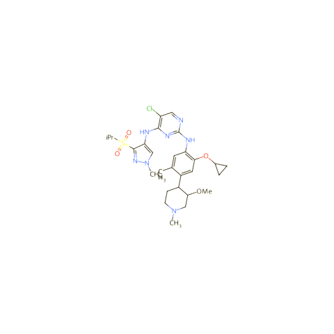 COC1CN(C)CCC1c1cc(OC2CC2)c(Nc2ncc(Cl)c(Nc3cn(C)nc3S(=O)(=O)C(C)C)n2)cc1C